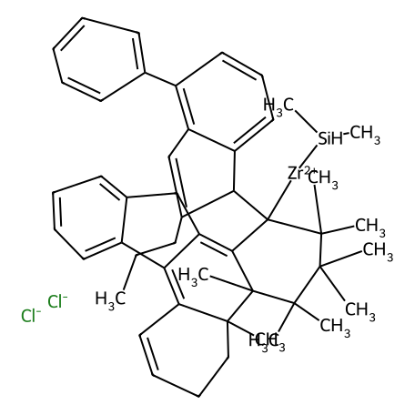 CCCC1=Cc2c(-c3ccccc3)cccc2C1[C]1([Zr+2][SiH](C)C)C2=C3Cc4ccccc4C3=C3C=CCCC3(C)C2(C)C(C)(C)C(C)(C)C1(C)C.[Cl-].[Cl-]